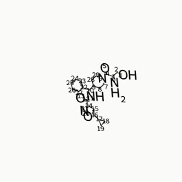 N[C@@H](CO)C(=O)N1CCC(C(NC(=O)c2cc(C3CC3)on2)c2ccccc2)CC1